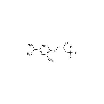 Cc1cc(C(C)C)ccc1OCC(C)CC(F)(F)F